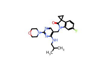 CC(C)CNc1nc(N2CCOCC2)ncc1CN1C(=O)C2(CC2)c2ccc(F)cc21